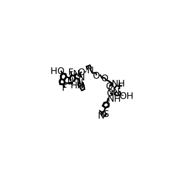 C#Cc1c(F)ccc2cc(O)cc(-c3ncc4c(N5CC6CCC(C5)N6)nc(OC[C@@H]5CCCN5CCOCCOCCC(=O)N[C@@H](C(=O)N5C[C@@H](O)C[C@@H]5C(=O)NCc5ccc(-c6scnc6C)cc5)C(C)(C)C)nc4c3F)c12